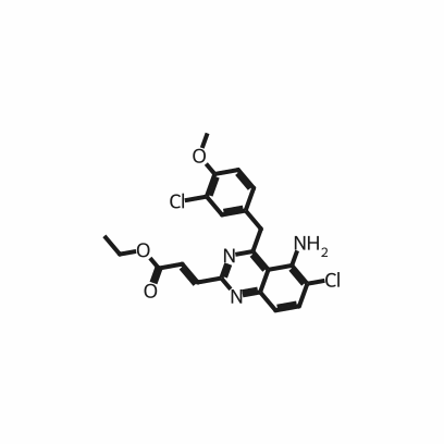 CCOC(=O)C=Cc1nc(Cc2ccc(OC)c(Cl)c2)c2c(N)c(Cl)ccc2n1